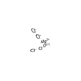 [Cl-].[Cl-].[Cl-].[Cl-].[Mg+2].[O+2]